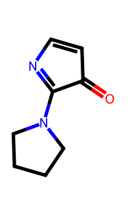 O=C1C=CN=C1N1CCCC1